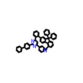 N#Cc1cccc2c1-c1ccc(-c3ccccc3-c3cc(-c4ccccc4)nc(-c4ccc(-c5ccccc5)cc4)n3)cc1C2(c1ccccc1)c1ccccc1